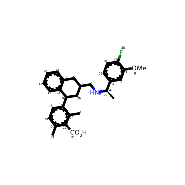 COc1cc([C@@H](C)NCC2Cc3ccccc3C(c3ccc(C)c(C(=O)O)c3C)C2)ccc1F